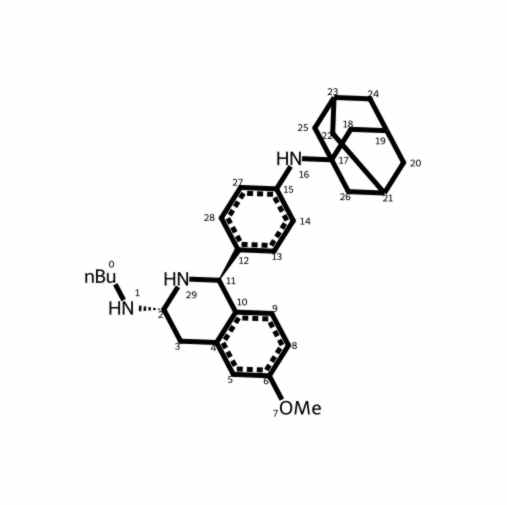 CCCCN[C@H]1Cc2cc(OC)ccc2[C@H](c2ccc(NC34CC5CC(CC(C5)C3)C4)cc2)N1